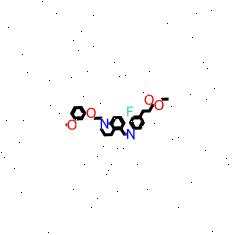 CCOC(=O)CCc1ccc(N(C)Cc2cccc3c2CCCN3CCOc2cccc(OC)c2)cc1F